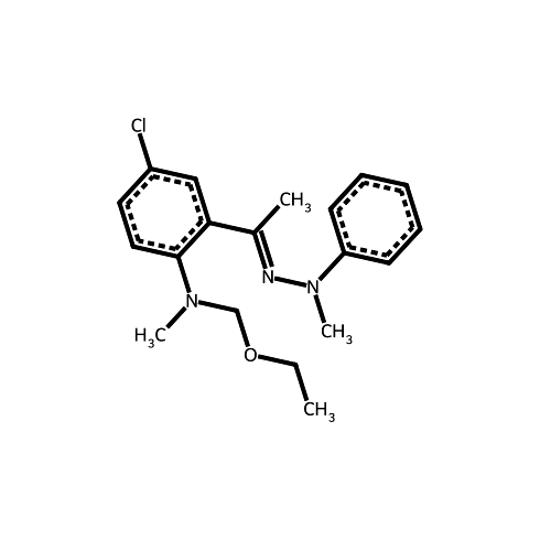 CCOCN(C)c1ccc(Cl)cc1/C(C)=N/N(C)c1ccccc1